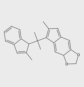 CC1=Cc2ccccc2C1C(C)(C)C1=C(C)C=C2C=C3OCOC3C=C21